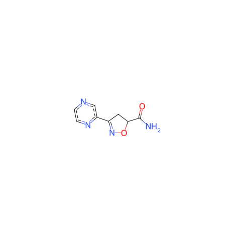 NC(=O)C1CC(c2cnccn2)=NO1